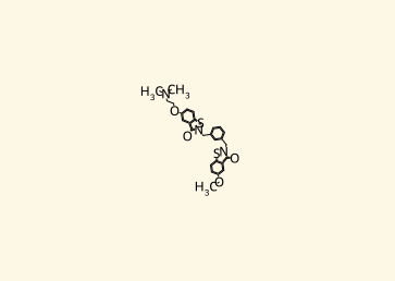 COc1ccc2sn(Cc3cccc(Cn4sc5ccc(OCCN(C)C)cc5c4=O)c3)c(=O)c2c1